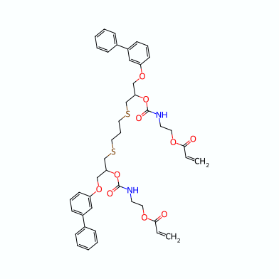 C=CC(=O)OCCNC(=O)OC(COc1cccc(-c2ccccc2)c1)CSCCCSCC(COc1cccc(-c2ccccc2)c1)OC(=O)NCCOC(=O)C=C